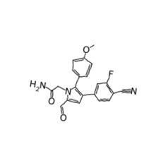 COc1ccc(-c2c(-c3ccc(C#N)c(F)c3)cc(C=O)n2CC(N)=O)cc1